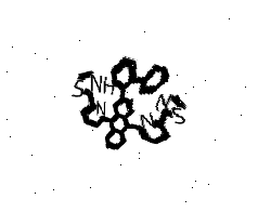 C1=CSC(c2cccc(-c3c4ccccc4c(-c4cccc(-c5nccs5)n4)c4ccc(-c5ccccc5-c5ccccc5)cc34)n2)N1